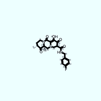 C[C@@H]1CCN2C(=O)C3=C(O)C(=O)C(C(=O)NCc4ccc(F)cc4)CN3C[C@H]2C1=O